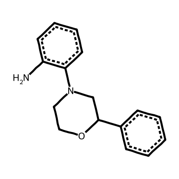 Nc1ccccc1N1CCOC(c2ccccc2)C1